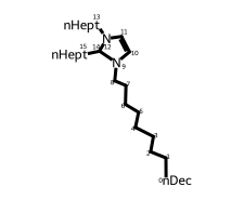 CCCCCCCCCCCCCCCCCCN1C=CN(CCCCCCC)C1CCCCCCC